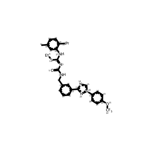 CCS/C(=N\C(=O)NCc1cccc(-c2ncn(-c3ccc(OC(F)(F)F)cc3)n2)c1)Nc1cc(C)ccc1C(C)C